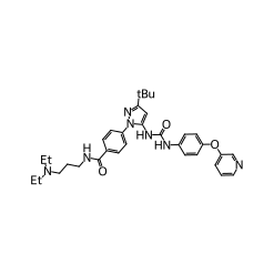 CCN(CC)CCCNC(=O)c1ccc(-n2nc(C(C)(C)C)cc2NC(=O)Nc2ccc(Oc3cccnc3)cc2)cc1